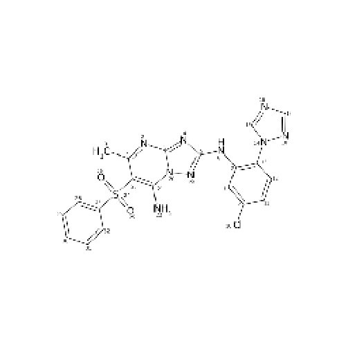 Cc1nc2nc(Nc3cc(Cl)ccc3-n3cncn3)nn2c(N)c1S(=O)(=O)c1ccccc1